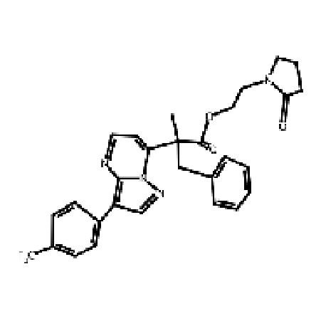 CC(Cc1ccccc1)(C(=O)OCCN1CCCC1=O)c1ccnc2c(-c3ccc(C(F)(F)F)cc3)cnn12